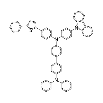 c1ccc(-c2ccc(-c3ccc(N(c4ccc(-c5ccc(N(c6ccccc6)c6ccccc6)cc5)cc4)c4ccc(-n5c6ccccc6c6ccccc65)cc4)cc3)s2)cc1